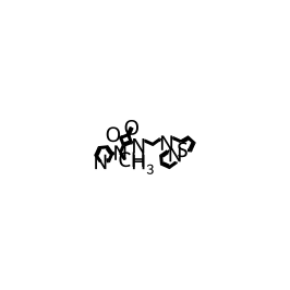 CN(c1cccnc1)c1c(NCCCN(Cc2cccs2)c2ccccn2)c(=O)c1=O